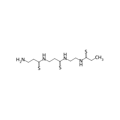 CCC(=S)NCCNC(=S)CCNC(=S)CCN